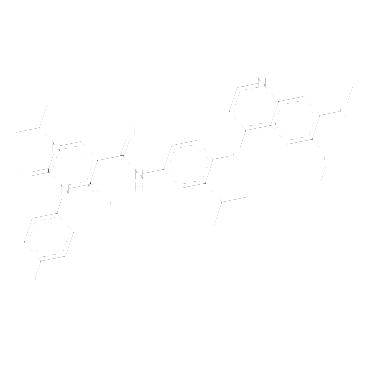 COc1cc2nccc(Oc3ccc(NC(=O)c4cn(C(C)C)c(=O)n(-c5ccc(F)cc5)c4=O)cc3C(C)C)c2cc1OC